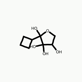 OC1COC(O)(C2CCC2)C1(O)O